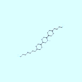 FCCCCCCCC1CCC(C2CCC(C3CCC(CCCCF)CC3)CC2)CC1